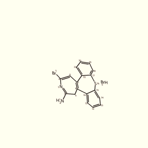 Br.NC1=NC(Br)=CC2=C(C1)c1ccccc1Sc1ccccc12